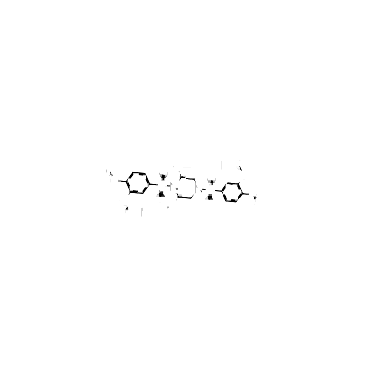 COc1ccc(S(=O)(=O)N2C[C@@H](C)N(S(=O)(=O)c3ccc(OC)c(OC)c3)[C@@H](C)C2)cc1OC